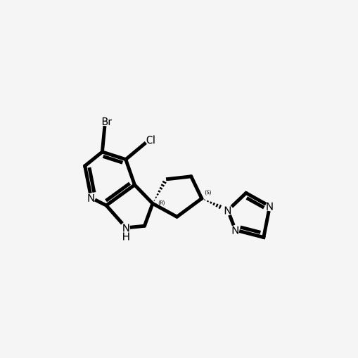 Clc1c(Br)cnc2c1[C@]1(CC[C@H](n3cncn3)C1)CN2